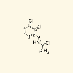 CC(Cl)NCc1cccc(Cl)c1Cl